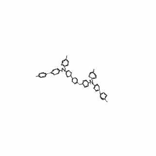 Cc1ccc(-c2ccc(N(c3ccc(C)cc3)c3ccc(Cc4ccc(-c5ccc(N(c6ccc(C)cc6)c6ccc(-c7ccc(C)cc7)cc6)cc5)cc4)cc3)cc2)cc1